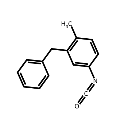 Cc1ccc(N=C=O)cc1Cc1ccccc1